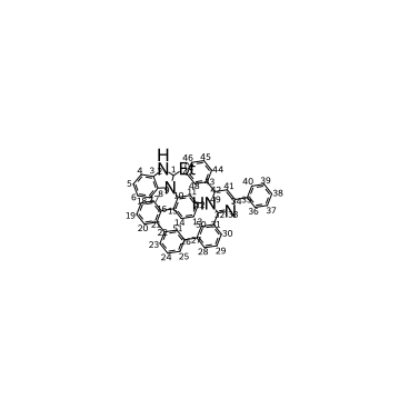 CCC1Nc2ccccc2N1c1ccccc1-c1ccccc1-c1cccc(-c2cccc(C3=NC(c4ccccc4)=CC(c4ccccc4)N3)c2)c1